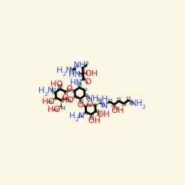 CCC(O)(NC(=N)N)C(=O)N[C@@H]1C[C@H](N)C(O[C@H]2O[C@H](CNCC(O)CCCN)[C@@H](O)[C@H](O)[C@H]2N)[C@H](O)[C@H]1O[C@H]1O[C@H](CO)[C@@H](O)[C@H](N)[C@H]1O